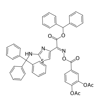 CC(=O)Oc1ccc(C(=O)ON=C(C(=O)OC(c2ccccc2)c2ccccc2)c2csc(NC(c3ccccc3)(c3ccccc3)c3ccccc3)n2)cc1OC(C)=O